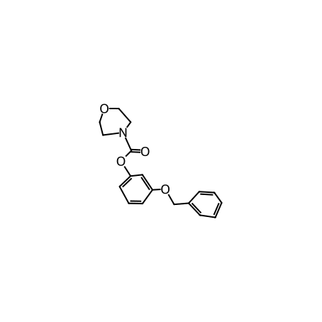 O=C(Oc1cccc(OCc2ccccc2)c1)N1CCOCC1